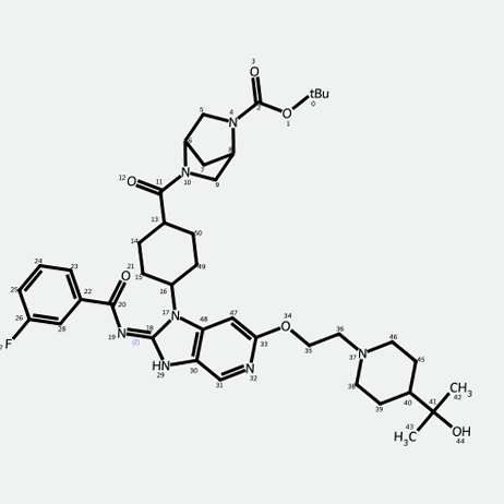 CC(C)(C)OC(=O)N1CC2CC1CN2C(=O)C1CCC(n2/c(=N\C(=O)c3cccc(F)c3)[nH]c3cnc(OCCN4CCC(C(C)(C)O)CC4)cc32)CC1